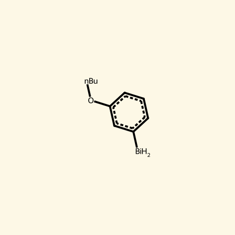 CCCCOc1ccc[c]([BiH2])c1